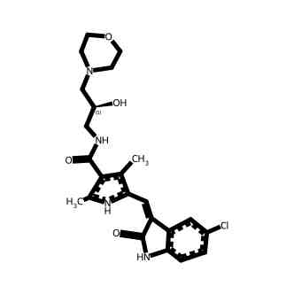 Cc1[nH]c(C=C2C(=O)Nc3ccc(Cl)cc32)c(C)c1C(=O)NC[C@H](O)CN1CCOCC1